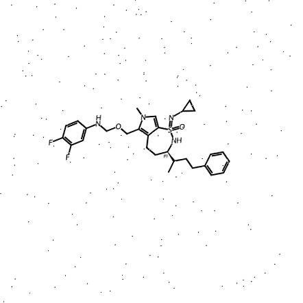 CC(CCc1ccccc1)[C@H]1CCc2c(cn(C)c2COCNc2ccc(F)c(F)c2)S(=O)(=NC2CC2)N1